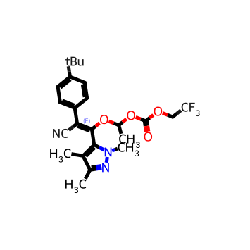 Cc1nn(C)c(/C(OC(C)OC(=O)OCC(F)(F)F)=C(\C#N)c2ccc(C(C)(C)C)cc2)c1C